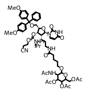 COc1ccc(C(OC[C@H]2O[C@@H](n3ccc(=O)[nH]c3=O)[C@H](CCCNC(=O)CCCCOC3OC(COC(C)=O)C(OC(C)=O)C(OC(C)=O)C3NC(C)=O)[C@@H]2OP(OCCC#N)N(C(C)C)C(C)C)(c2ccccc2)c2ccc(OC)cc2)cc1